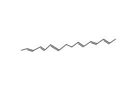 CC=CC=CC=CCCC=CC=CC=CC